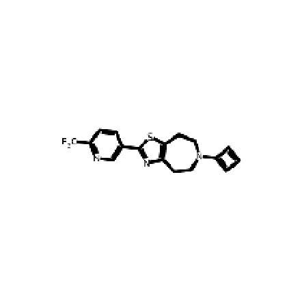 FC(F)(F)c1ccc(-c2nc3c(s2)CCN(C2=CC=C2)CC3)cn1